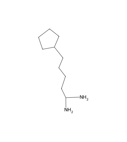 NC(N)CCCCC1CCCC1